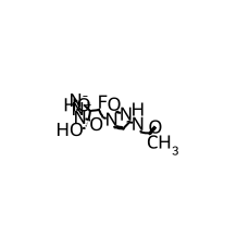 CC(=O)CNc1ccn(C2O[C@@](CO)(N=[N+]=[N-])C(O)[C@@H]2F)c(=O)n1